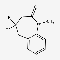 CN1C(=O)CC(F)(F)Cc2ccccc21